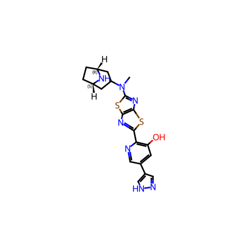 CN(c1nc2sc(-c3ncc(-c4cn[nH]c4)cc3O)nc2s1)C1C[C@H]2CC[C@@H](C1)N2